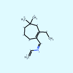 C=C/N=C\C1=C(CC)CC(C)(C)CCC1